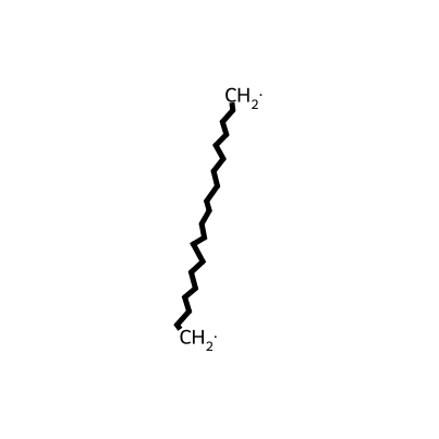 [CH2]CCCCCCCCCCCCCCCCCC[CH2]